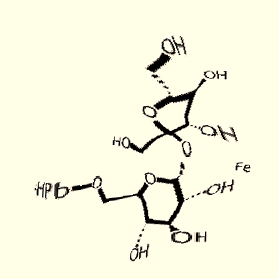 OC[C@H]1O[C@@](CO)(O[C@H]2O[C@H](C[O][PbH])[C@@H](O)[C@H](O)[C@H]2O)[C@@H](O)[C@@H]1O.[Fe]